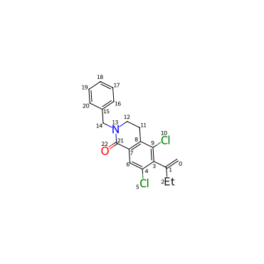 C=C(CC)c1c(Cl)cc2c(c1Cl)CCN(Cc1ccccc1)C2=O